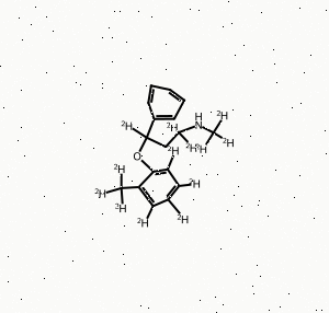 [2H]c1c([2H])c([2H])c(C([2H])([2H])[2H])c(OC([2H])(CC([2H])([2H])NC([2H])([2H])[2H])c2ccccc2)c1[2H]